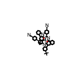 CC(C)(C)c1ccc2c(c1)c1ccccc1n2-c1ccc(-c2ccc(C#N)cc2)cc1-c1nc(-c2ccccc2)nc(-c2ccc(C#N)cc2-n2c3ccccc3c3cc(C(C)(C)C)ccc32)n1